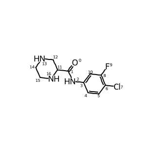 O=C(Nc1ccc(Cl)c(F)c1)C1CNCCN1